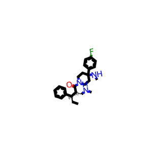 CC[C@@H](c1ccccc1)[C@@H](CNC)C(=O)N1CCC(NC)(c2ccc(F)cc2)CC1